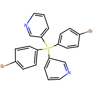 Brc1ccc(S(c2ccc(Br)cc2)(c2cccnc2)c2cccnc2)cc1